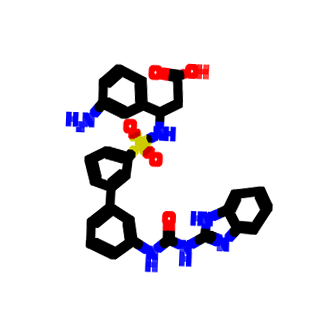 Nc1cccc(C(CC(=O)O)NS(=O)(=O)c2cccc(-c3cccc(NC(=O)Nc4nc5ccccc5[nH]4)c3)c2)c1